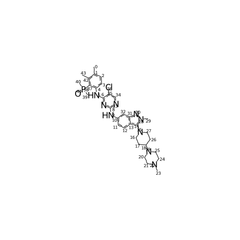 Cc1ccc(Nc2nc(Nc3ccc4c(N5CCC(N6CCN(C)CC6)CC5)n(C)nc4c3)ncc2Cl)c(P(C)(C)=O)c1C